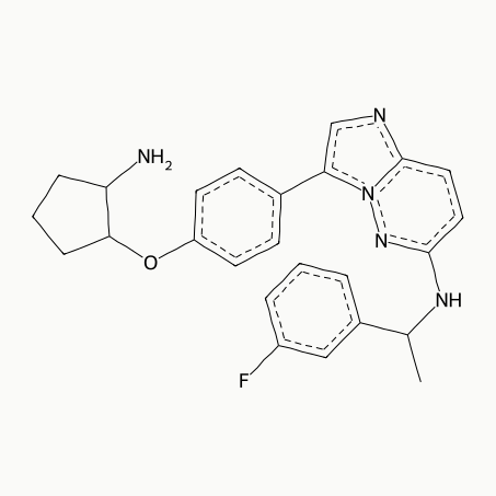 CC(Nc1ccc2ncc(-c3ccc(OC4CCCC4N)cc3)n2n1)c1cccc(F)c1